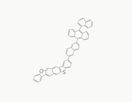 c1ccc2c(-c3c4ccccc4c(-c4ccc5cc(-c6ccc7sc8cc9cc%10c(cc9cc8c7c6)oc6ccccc6%10)ccc5c4)c4ccccc34)cccc2c1